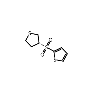 O=S(=O)(c1cccs1)[C@@H]1CCSC1